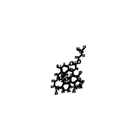 Cc1ccc(C(CC(=O)OCCN(C)C)c2ccc3c(nnn3C)c2C)cc1CN1CCN(C)c2ccccc2S1(=O)=O